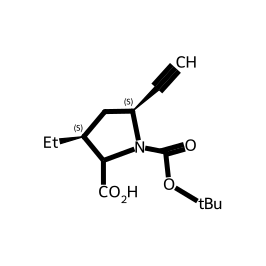 C#C[C@@H]1C[C@H](CC)C(C(=O)O)N1C(=O)OC(C)(C)C